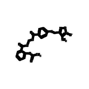 CC(=O)Oc1ccccc1C(=O)OCOC(=O)c1ccc(SCc2no[n+]([O-])c2N)cc1